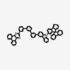 c1cc(-c2cccc(-c3ccc4c(c3)c3ccccc3n4-c3ccc4c(c3)C3(c5ccccc5-c5ccccc53)c3ccccc3-4)c2)cc(-c2cccc(-c3cnc4c5ccccc5c5ccccc5c4n3)c2)c1